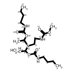 CCCCNC(=O)OC(C)N(CCNC(=O)OC)C(C)OC(=O)NCCCC.Cl